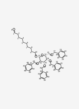 O=CCCCCCCCCCO[C@@H]1O[C@H](COCc2ccccc2)[C@H](OCc2ccccc2)[C@H](OCc2ccccc2)[C@H]1OCc1ccccc1